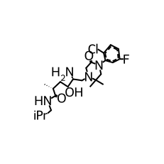 CC(C)CNC(=O)[C@H](C)C[C@H](O)[C@@H](N)CN1CC(=O)N(c2cc(F)ccc2Cl)CC1(C)C